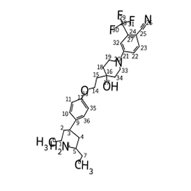 CCCC(CC(N)CC)c1ccc(OCCC2(O)CCN(c3ccc(C#N)c(C(F)(F)F)c3)CC2)cc1